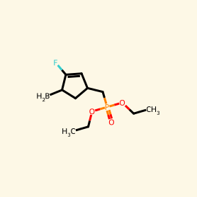 BC1CC(CP(=O)(OCC)OCC)C=C1F